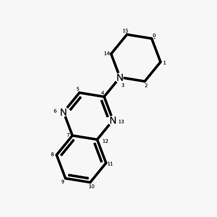 [CH]1CCN(c2cnc3ccccc3n2)CC1